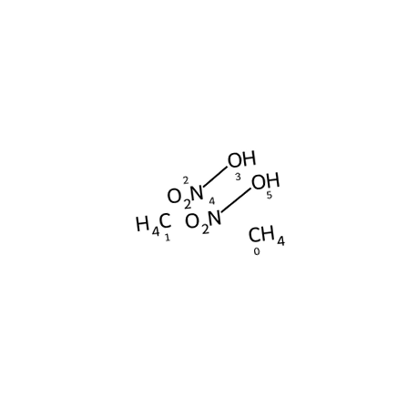 C.C.O=[N+]([O-])O.O=[N+]([O-])O